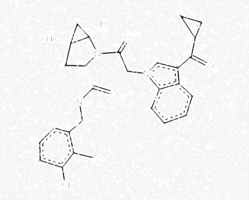 O=C(c1cn(CC(=O)N2[C@@H]3C[C@@H]3C[C@H]2C(=O)NCc2cccc(Cl)c2F)c2ccccc12)C1CC1